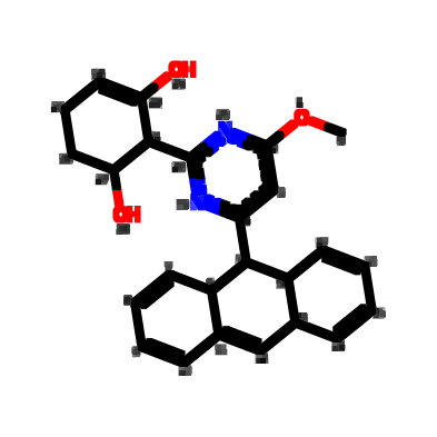 COc1cc(C2C3C=CC=CC3=CC3C=CC=CC32)nc(C2C(O)=CCCC2O)n1